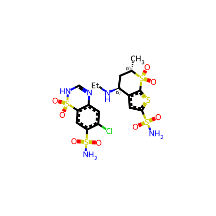 CCN[C@H]1C[C@H](C)S(=O)(=O)c2sc(S(N)(=O)=O)cc21.NS(=O)(=O)c1cc2c(cc1Cl)N=CNS2(=O)=O